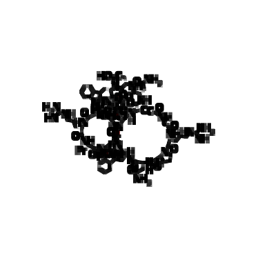 CC(C)[C@@H]1NC(=O)[C@H](CCCNC(=N)N)NC(=O)[C@H](C(C)C)NC(=O)[C@@H](NC(=O)[C@H](CO)NC(=O)[C@H](Cc2c[nH]c3ccccc23)NC(=O)[C@H](CC(=O)O)NC(=O)[C@H](CC(N)=O)NC(=O)[C@@H]2CCC(=O)NCC(=O)N[C@@H](CCCNC(=N)N)C(=O)N3CCC[C@H]3C(=O)N[C@@H](CC(N)=O)C(=O)N[C@@H](Cc3c[nH]c4ccccc34)C(=O)NCC(=O)N[C@@H](Cc3ccccc3)C(=O)N2)CSSC[C@@H](C(=O)O)NC1=O